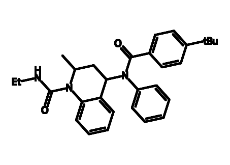 CCNC(=O)N1c2ccccc2C(N(C(=O)c2ccc(C(C)(C)C)cc2)c2ccccc2)CC1C